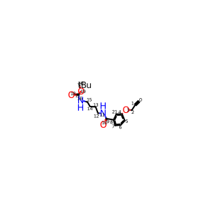 C#CCOc1cccc(C(=O)NCCCCNC(=O)OC(C)(C)C)c1